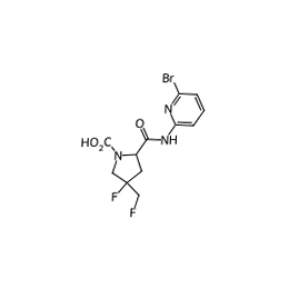 O=C(Nc1cccc(Br)n1)C1CC(F)(CF)CN1C(=O)O